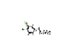 CNCc1[c]cc(F)c(F)c1